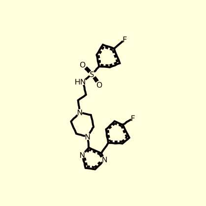 O=S(=O)(NCCN1CCN(c2nccnc2-c2ccc(F)cc2)CC1)c1ccc(F)cc1